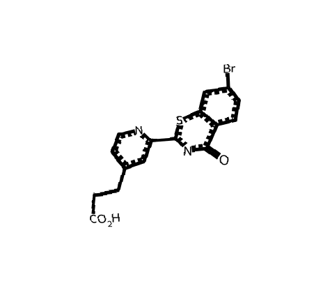 O=C(O)CCc1ccnc(-c2nc(=O)c3ccc(Br)cc3s2)c1